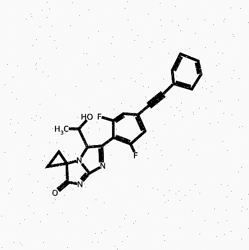 CC(O)C1C(c2c(F)cc(C#Cc3ccccc3)cc2F)=NC2=NC(=O)C3(CC3)N21